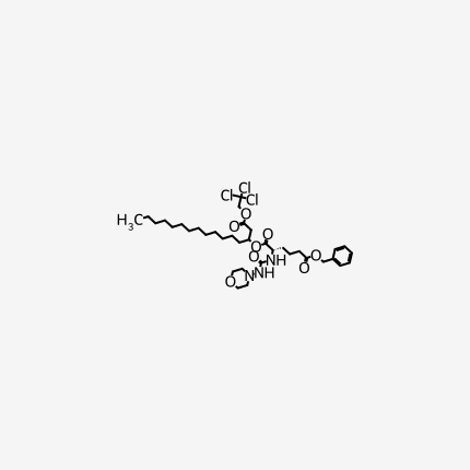 CCCCCCCCCCCCCC(CC(=O)OCC(Cl)(Cl)Cl)OC(=O)[C@H](CCCC(=O)OCc1ccccc1)NC(=O)NN1CCOCC1